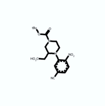 CC(C)(C)OC(=O)N1CCN(c2cc(C#N)ccc2[N+](=O)[O-])C(CC(=O)O)C1